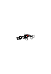 COc1ccc(COc2c(Cl)cc(OCC=C(Cl)Cl)cc2Cl)cc1